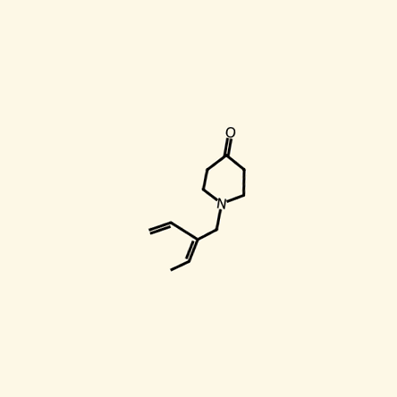 C=C/C(=C\C)CN1CCC(=O)CC1